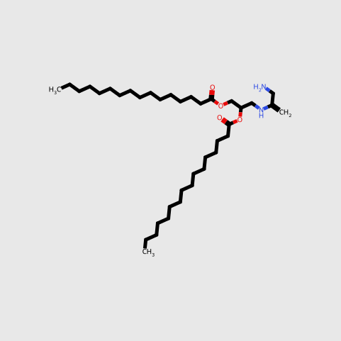 C=C(CN)NCC(COC(=O)CCCCCCCCCCCCCCC)OC(=O)CCCCCCCCCCCCCCC